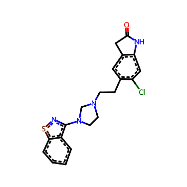 O=C1Cc2cc(CCN3CCN(c4nsc5ccccc45)C3)c(Cl)cc2N1